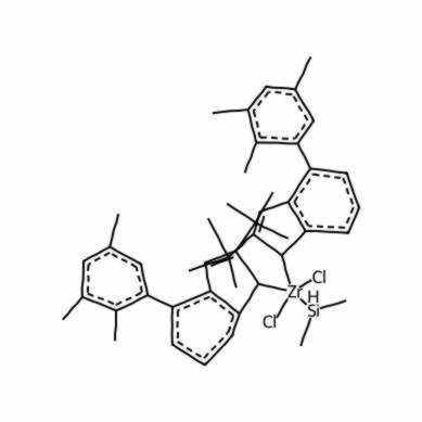 Cc1cc(C)c(C)c(-c2cccc3c2C=C(C(C)(C)C)[CH]3[Zr]([Cl])([Cl])([CH]2C(C(C)(C)C)=Cc3c(-c4cc(C)cc(C)c4C)cccc32)[SiH](C)C)c1